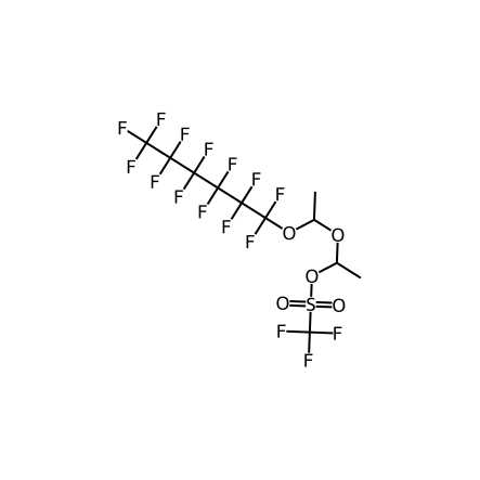 CC(OC(C)OS(=O)(=O)C(F)(F)F)OC(F)(F)C(F)(F)C(F)(F)C(F)(F)C(F)(F)C(F)(F)F